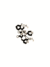 CCC(NC(=O)N1C(=O)[C@H](Cc2ccnc(N)c2)[C@H]1C(=O)N(C)c1ccncc1)c1ccccc1F